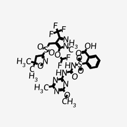 COc1nc(C)nc(NC(=O)NS(=O)(=O)c2ccccc2C(=O)O)n1.Cn1nc(C(F)(F)F)c(CS(=O)(=O)C2=NOC(C)(C)C2)c1OC(F)F